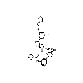 O=C(Nc1cncc(-c2cnc3[nH]nc(-c4nc5c(-c6cc(F)cc(OCCN7CCCC7)c6)ccnc5[nH]4)c3c2)c1)C1CCCC1